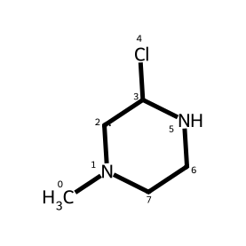 CN1[CH]C(Cl)NCC1